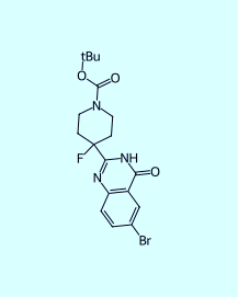 CC(C)(C)OC(=O)N1CCC(F)(c2nc3ccc(Br)cc3c(=O)[nH]2)CC1